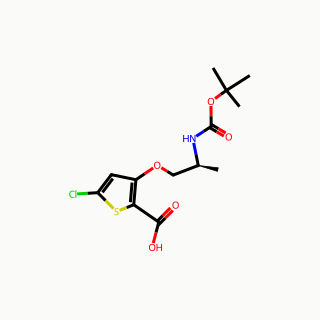 C[C@@H](COc1cc(Cl)sc1C(=O)O)NC(=O)OC(C)(C)C